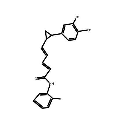 Cc1ccccc1NC(=O)/C=C/C=C/C1CC1c1ccc(Br)c(Br)c1